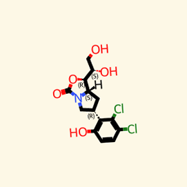 O=C1O[C@@H]([C@@H](O)CO)[C@@H]2C[C@H](c3c(O)ccc(Cl)c3Cl)CN12